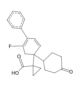 O=C1CCC(C2(C3(C(=O)O)CC3)C=CC(c3ccccc3)=C(F)C2)CC1